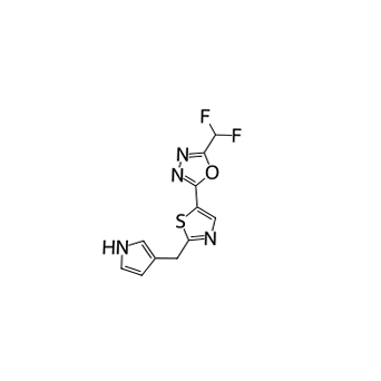 FC(F)c1nnc(-c2cnc(Cc3cc[nH]c3)s2)o1